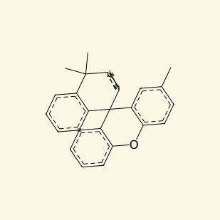 Cc1ccc2c(c1)C1(c3ccccc3O2)c2ccccc2C(C)(C)c2ccccc21